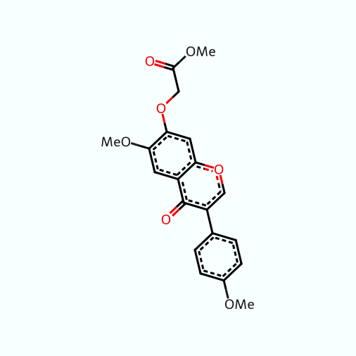 COC(=O)COc1cc2occ(-c3ccc(OC)cc3)c(=O)c2cc1OC